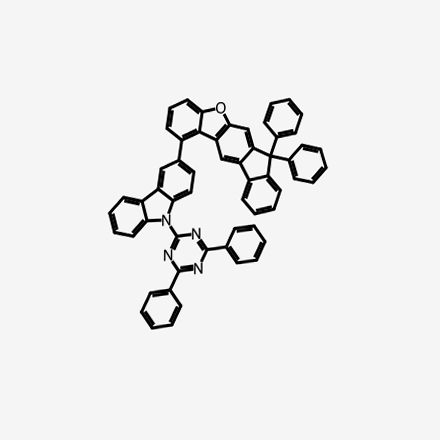 c1ccc(-c2nc(-c3ccccc3)nc(-n3c4ccccc4c4cc(-c5cccc6oc7cc8c(cc7c56)-c5ccccc5C8(c5ccccc5)c5ccccc5)ccc43)n2)cc1